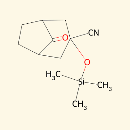 C[Si](C)(C)OC1(C#N)CC2CCC(C1)C2=O